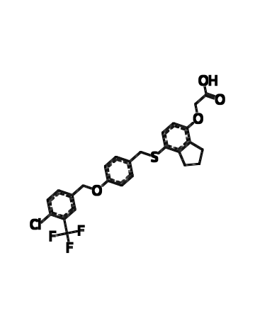 O=C(O)COc1ccc(SCc2ccc(OCc3ccc(Cl)c(C(F)(F)F)c3)cc2)c2c1CCC2